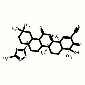 Cc1noc([C@@]23CCC4C(C(=O)C=C5[C@@]6(C)C=C(C#N)C(=O)[C@@](C)(O)C6CC[C@]54C)C2CC(C)(C)CC3)n1